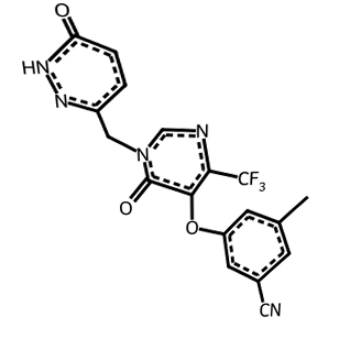 Cc1cc(C#N)cc(Oc2c(C(F)(F)F)ncn(Cc3ccc(=O)[nH]n3)c2=O)c1